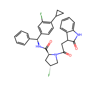 O=C1Nc2ccccc2C1CC(=O)N1C[C@H](F)C[C@H]1C(=O)N[C@@H](c1ccccc1)c1ccc(C2CC2)c(F)c1